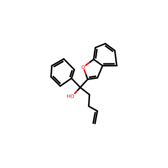 C=CCCC(O)(c1ccccc1)c1cc2ccccc2o1